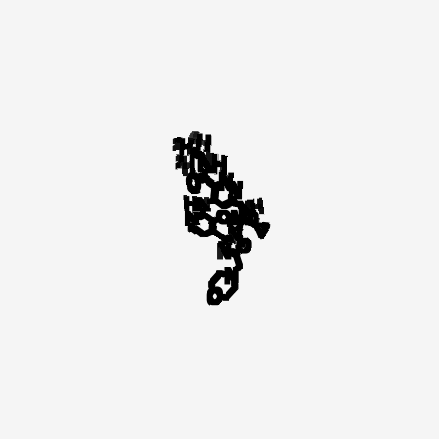 [2H]C([2H])([2H])NC(=O)c1nnc(NC(=O)C2CC2)cc1Nc1nccc(-c2noc(CN3CCOCC3)n2)c1OC